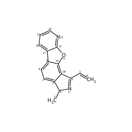 C=CC1=NC(C)c2ccc3c(oc4ncccc43)c21